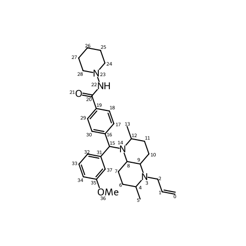 C=CCN1C(C)CCC2C1CCC(C)N2C(c1ccc(C(=O)NN2CCCCC2)cc1)c1cccc(OC)c1